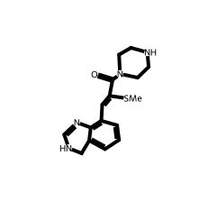 CS/C(=C\c1cccc2c1N=CNC2)C(=O)N1CCNCC1